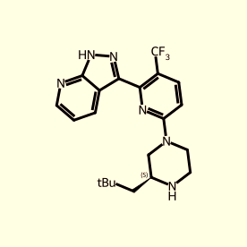 CC(C)(C)C[C@H]1CN(c2ccc(C(F)(F)F)c(-c3n[nH]c4ncccc34)n2)CCN1